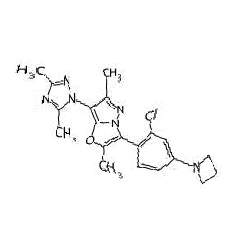 Cc1nc(C)n(-c2c(C)nn3c(-c4ccc(N5CCC5)cc4Cl)c(C)oc23)n1